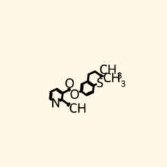 C#Cc1ncccc1C(=O)Oc1ccc2c(c1)CCC(C)(C)S2